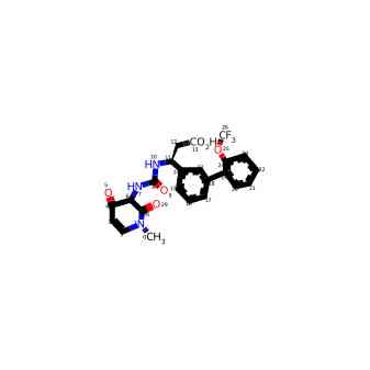 CN1C=CC(=O)C(NC(=O)N[C@@H](CC(=O)O)c2cccc(-c3ccccc3OC(F)(F)F)c2)C1=O